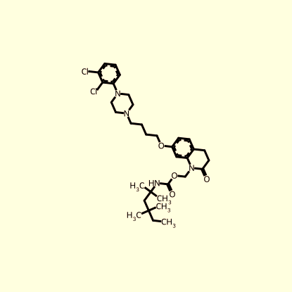 CCC(C)(C)CC(C)(C)NC(=O)OCN1C(=O)CCc2ccc(OCCCCN3CCN(c4cccc(Cl)c4Cl)CC3)cc21